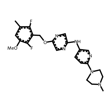 COc1cc(C)c(F)c(COc2cnc(Nc3ccc(N4CCN(C)CC4)nc3)cn2)c1F